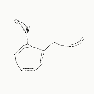 C=CCc1ccccc1N=O